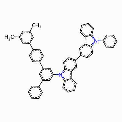 Cc1cc(C)cc(-c2ccc(-c3cc(-c4ccccc4)cc(-n4c5ccccc5c5cc(-c6ccc7c(c6)c6ccccc6n7-c6ccccc6)ccc54)c3)cc2)c1